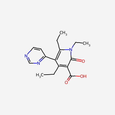 CCc1c(-c2ccncn2)c(CC)n(CC)c(=O)c1C(=O)O